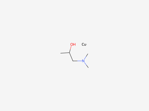 CC(O)CN(C)C.[Cu]